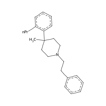 CCCc1ccccc1C1(C)CCN(CCc2ccccc2)CC1